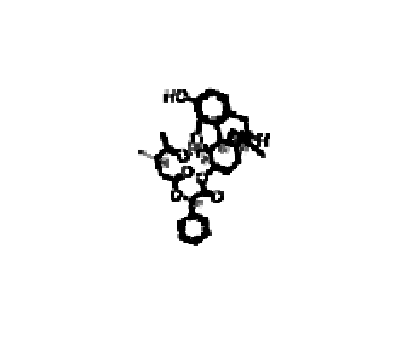 CC(=O)[C@@H](C)CC(=O)O[C@H](C(=O)OC1=CC[C@@]2(O)[C@H]3Cc4ccc(O)c5c4[C@@]2(CCN3C)[C@H]1O5)c1ccccc1